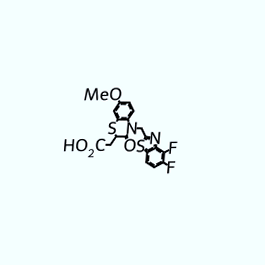 COc1ccc2c(c1)SC(CC(=O)O)C(=O)N2Cc1nc2c(F)c(F)ccc2s1